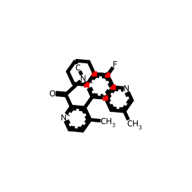 Cc1ccc(OC2CC3CCC2N(C(=O)c2nccc(C)c2-c2ncc(F)cn2)C3)nc1